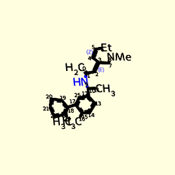 C=C(/C=C(\C=C/CC)CNC)NC(C)c1ccc(C)c(-c2ccccc2C)c1